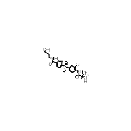 C[C@@](O)(C(=O)Nc1ccc(S(=O)(=O)c2ccc(C(=O)NCCCO)cc2)cc1Cl)C(F)(F)F